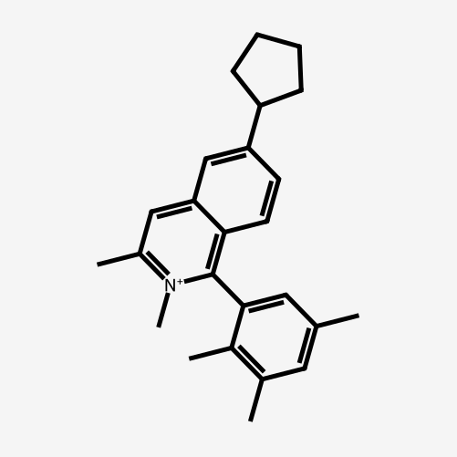 Cc1cc(C)c(C)c(-c2c3ccc(C4CCCC4)cc3cc(C)[n+]2C)c1